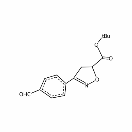 CC(C)(C)OC(=O)C1CC(c2ccc(C=O)cc2)=NO1